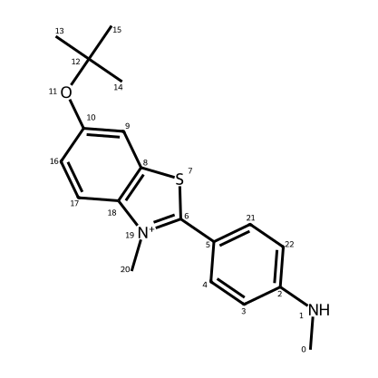 CNc1ccc(-c2sc3cc(OC(C)(C)C)ccc3[n+]2C)cc1